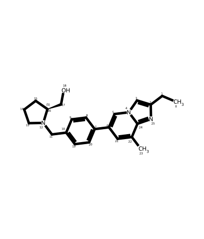 CCc1[c]n2cc(-c3ccc(CN4CCC[C@H]4CO)cc3)cc(C)c2n1